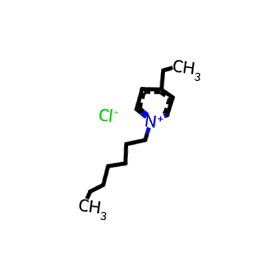 CCCCCCC[n+]1ccc(CC)cc1.[Cl-]